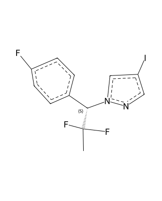 CC(F)(F)[C@H](c1ccc(F)cc1)n1cc(I)cn1